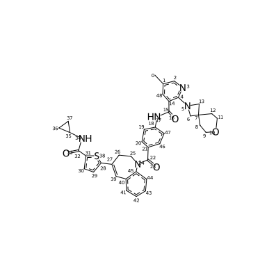 Cc1cnc(N2CC3(CCOCC3)C2)c(C(=O)Nc2ccc(C(=O)N3CCC(c4ccc(C(=O)NC5CC5)s4)=Cc4ccccc43)cc2)c1